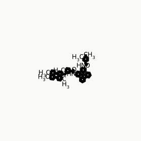 Cc1ccc(C(=O)Nc2ccc(C3(c4ccc(NC(=O)c5ccc(C)c(Cc6ccc7c8ccc(C)c9c(C)ccc(c%10ccc(C)c6c%107)c98)c5)cc4)c4ccccc4-c4ccccc43)cc2)cc1C